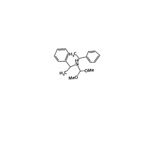 COC(OC)[SiH](C(C)c1ccccc1)C(C)c1ccccc1